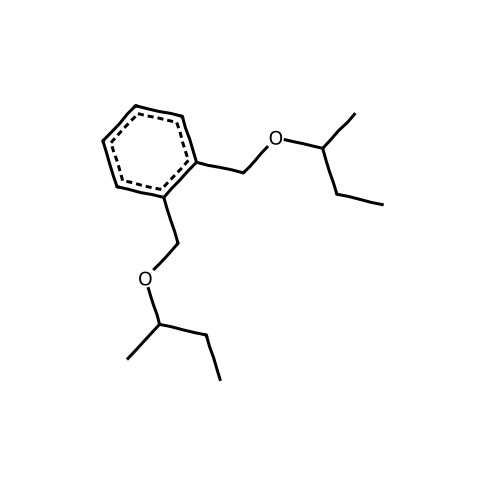 CCC(C)OCc1ccccc1COC(C)CC